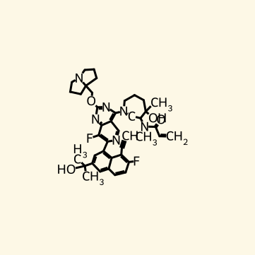 C#Cc1c(F)ccc2cc(C(C)(C)O)cc(-c3ncc4c(N5CCCC(C)(O)C(N(C)C(=O)C=C)C5)nc(OCC56CCCN5CCC6)nc4c3F)c12